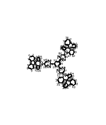 c1ccc2c(c1)-c1ccccc1C21c2ccccc2N(c2cnc(-c3cc(-c4ncc(N5c6ccccc6C6(c7ccccc7-c7ccccc76)c6ccccc65)cn4)cc(-c4ncc(N5c6ccccc6C6(c7ccccc7-c7ccccc76)c6ccccc65)cn4)c3)nc2)c2ccccc21